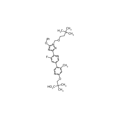 Cc1cc(OCC(C)(C)C(=O)O)ncc1-c1cnc(-c2nc(OC(C)C)n(COCC[Si](C)(C)C)n2)c(F)c1